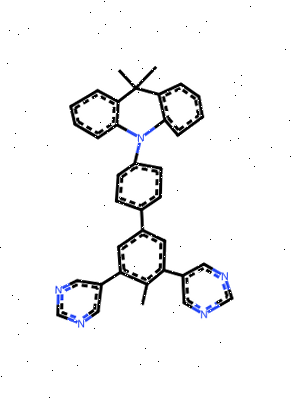 Cc1c(-c2cncnc2)cc(-c2ccc(N3c4ccccc4C(C)(C)c4ccccc43)cc2)cc1-c1cncnc1